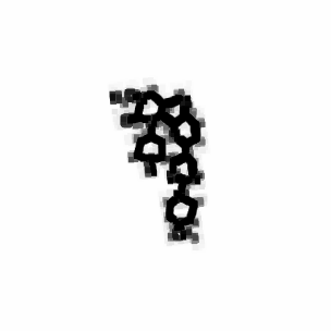 CN1CCN(c2ncc(-c3ccc4ncc5c(c4n3)N(C3CCNCC3)C(=O)N(C)C5)cn2)CC1